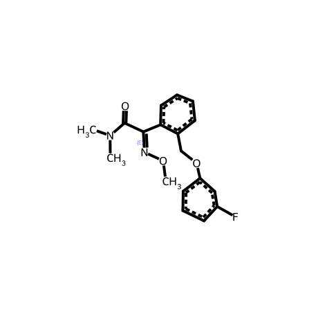 CO/N=C(/C(=O)N(C)C)c1ccccc1COc1cccc(F)c1